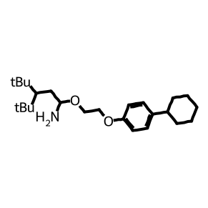 CC(C)(C)C(CC(N)OCCOc1ccc(C2CCCCC2)cc1)C(C)(C)C